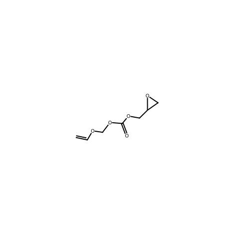 C=COCOC(=O)OCC1CO1